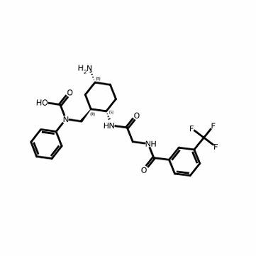 N[C@@H]1CC[C@H](NC(=O)CNC(=O)c2cccc(C(F)(F)F)c2)[C@@H](CN(C(=O)O)c2ccccc2)C1